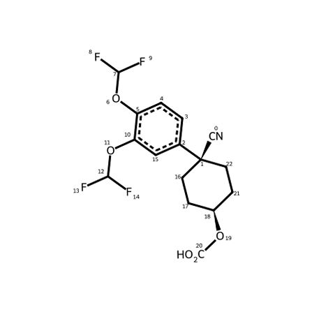 N#C[C@]1(c2ccc(OC(F)F)c(OC(F)F)c2)CC[C@H](OC(=O)O)CC1